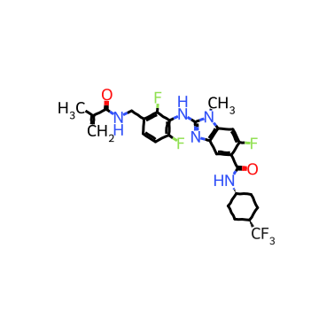 C=C(C)C(=O)NCc1ccc(F)c(Nc2nc3cc(C(=O)N[C@H]4CC[C@H](C(F)(F)F)CC4)c(F)cc3n2C)c1F